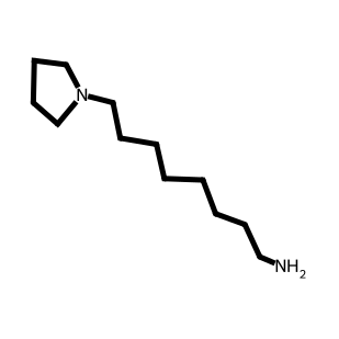 NCCCCCCCCN1CCCC1